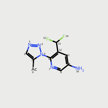 CC(=O)c1cnnn1-c1ncc(N)cc1C(F)F